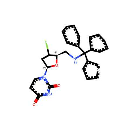 O=c1ccn([C@H]2CC(F)[C@@H](CNC(c3ccccc3)(c3ccccc3)c3ccccc3)O2)c(=O)[nH]1